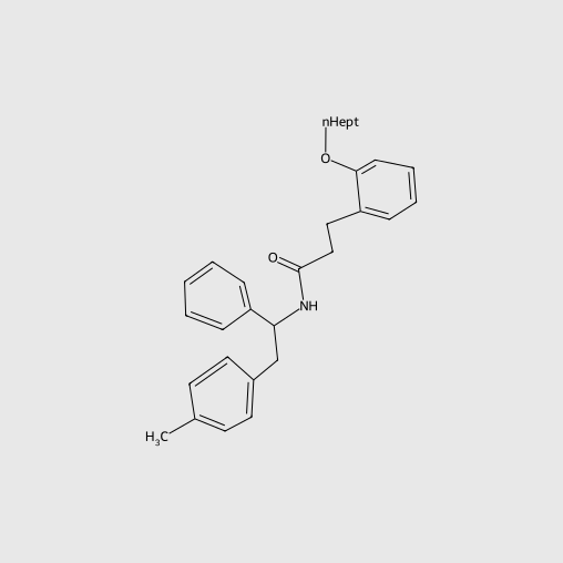 CCCCCCCOc1ccccc1CCC(=O)NC(Cc1ccc(C)cc1)c1ccccc1